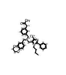 CCCCn1c(-c2ccccc2)nc(Cl)c1CN(Cc1cccc(CC(=O)O)c1)Cc1ccc2c(c1)OCCO2